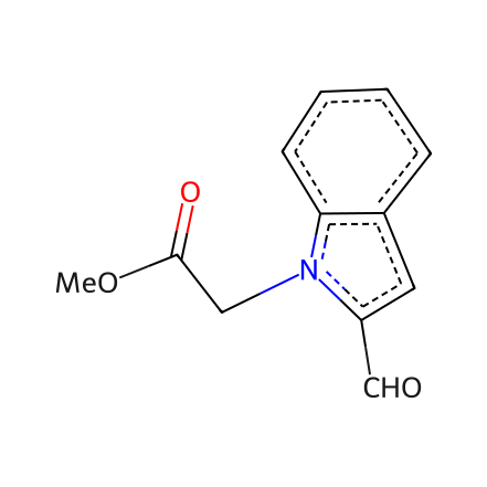 COC(=O)Cn1c(C=O)cc2ccccc21